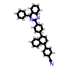 N#Cc1ccc(-c2ccc(-c3ccc(-c4nc(-c5ccccc5)c5ccccc5n4)cc3)c3ccccc23)cc1